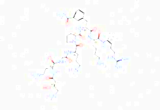 N=C(N)NCC/C=C(\NC(=O)[C@H](CCCCN)NC(=O)[C@H](Cc1cccc(C(N)=O)c1)NC(=O)[C@@H]1CCCN1C(=O)[C@@H](CCCN)NC(=O)CNC(=O)[C@H](CCN)NC(=O)C[C@@H](O)CN)C(=O)O